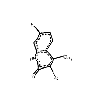 CC(=O)c1c(C)c2ccc(F)cc2[nH]c1=O